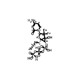 [N-]=[N+]=NC[C@]12O[C@@H](n3ccc(N)nc3=O)C(F)(F)[C@@]1(O)[C@@H]2OP(=O)(O)OP(=O)(O)OP(=O)(O)O